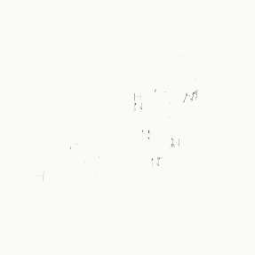 C=CC(=O)Cc1cccc(Nc2nc(Nc3ccccc3)ncc2C(=O)NC2CC2)c1